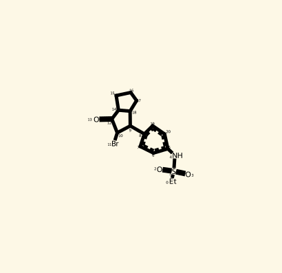 CCS(=O)(=O)Nc1ccc(C2C(Br)C(=O)C3CCCC32)cc1